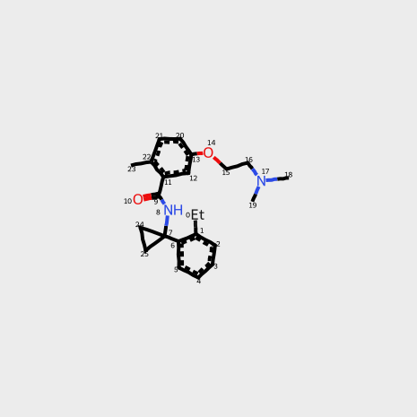 CCc1ccccc1C1(NC(=O)c2cc(OCCN(C)C)ccc2C)CC1